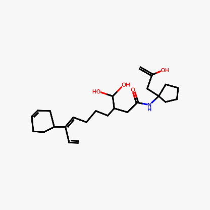 C=C/C(=C\CCCC(CC(=O)NC1(CC(=C)O)CCCC1)C(O)O)C1CC=CCC1